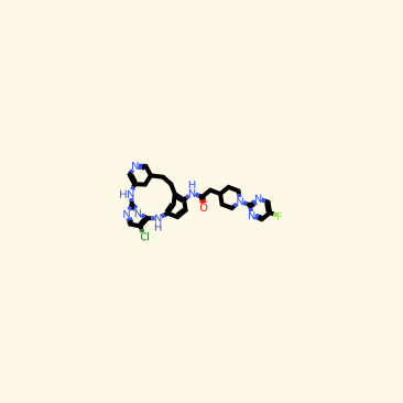 O=C(CC1CCN(c2ncc(F)cn2)CC1)Nc1ccc2cc1CCC1C=NC=C(C1)Nc1ncc(Cl)c(n1)N2